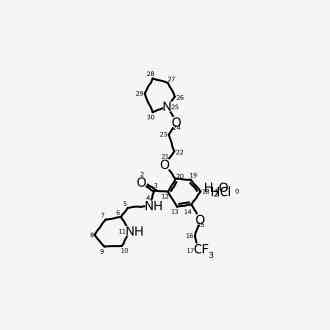 Cl.O.O=C(NCC1CCCCN1)c1cc(OCC(F)(F)F)ccc1OCCON1CCCCC1